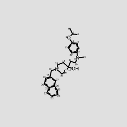 CC(C)Oc1ccc(N(C)CCC2(O)CCN(Cc3ccc4ccccc4c3)CC2)cc1